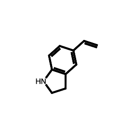 C=Cc1ccc2c(c1)CCN2